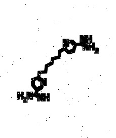 N=C(N)c1ccc(CCCCCCCc2ccc(C(=N)N)cn2)nc1